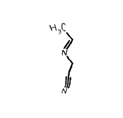 CC=NCC#N